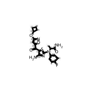 CC(C(N)=O)N(c1ccc(F)cc1)c1nc(N)c(C(=O)c2cc(OC3CCC3)no2)s1